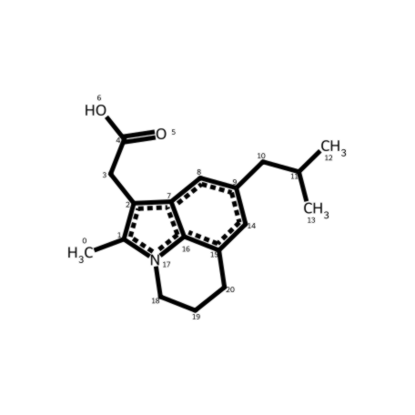 Cc1c(CC(=O)O)c2cc(CC(C)C)cc3c2n1CCC3